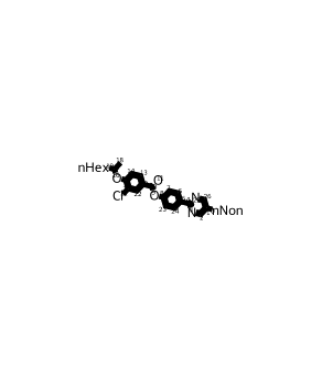 CCCCCCCCCc1cnc(-c2ccc(OC(=O)c3ccc(OC(C)CCCCCC)c(Cl)c3)cc2)nc1